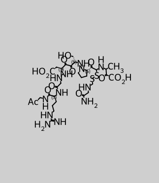 CC(=O)CNC(=O)[C@H](CCCNC(=N)N)NC(=O)CNN[C@@H](CC(=O)O)C(=O)C(=O)[C@H](CO)NN1CCC[C@H]1C(=O)C(NC(C)C(=O)C(=O)O)SSCNCC(N)=O